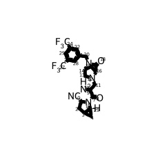 N#CC1CC2C[C@@H]2N1C(=O)C(N)CN1CC2CC1C(=O)N2Cc1cc(C(F)(F)F)cc(C(F)(F)F)c1